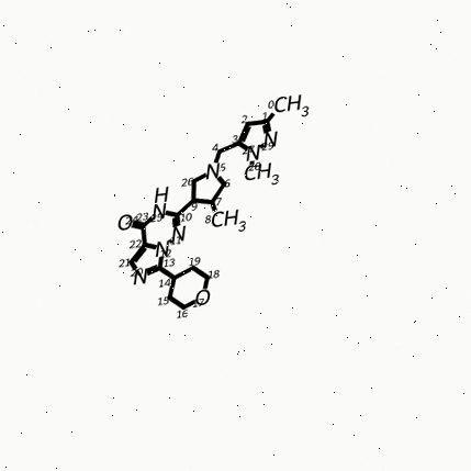 Cc1cc(CN2CC(C)C(c3nn4c(C5CCOCC5)ncc4c(=O)[nH]3)C2)n(C)n1